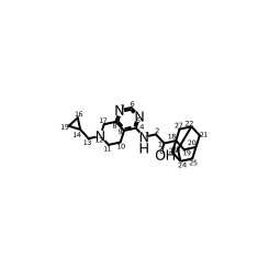 OC(CNc1ncnc2c1CCN(CC1CC1)C2)C12CC3CC(CC(C3)C1)C2